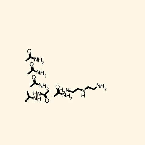 CC(=O)NNC(C)C.CC(N)=O.CC(N)=O.CC(N)=O.CC(N)=O.NCCNCCN